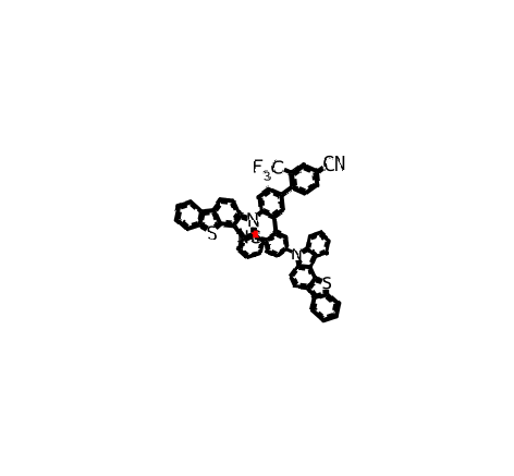 N#Cc1ccc(-c2ccc(-n3c4ccccc4c4c5sc6ccccc6c5ccc43)c(-c3cc(-n4c5ccccc5c5c6sc7ccccc7c6ccc54)ccc3C#N)c2)c(C(F)(F)F)c1